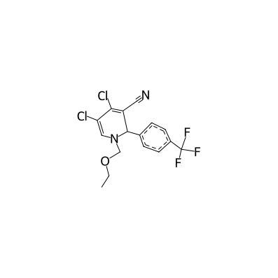 CCOCN1C=C(Cl)C(Cl)=C(C#N)C1c1ccc(C(F)(F)F)cc1